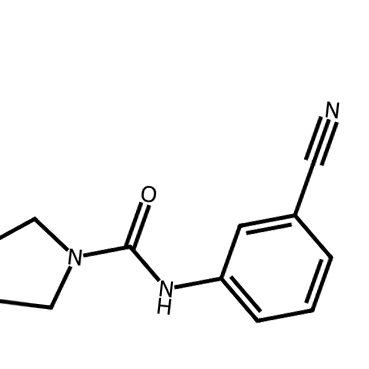 N#Cc1cccc(NC(=O)N2CCSC2)c1